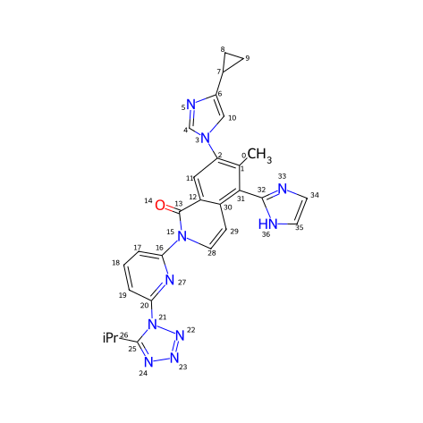 Cc1c(-n2cnc(C3CC3)c2)cc2c(=O)n(-c3cccc(-n4nnnc4C(C)C)n3)ccc2c1-c1ncc[nH]1